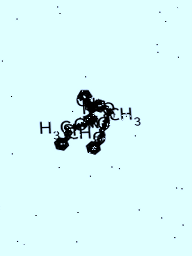 C[C@H](CCOCCCOCc1ccccc1)Oc1ccc2c(c1)c(-c1cnn(COCC[Si](C)(C)CCc3ccccc3)c1)nn2C1CCCCO1